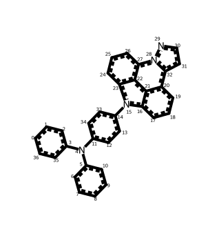 c1ccc(N(c2ccccc2)c2ccc(-n3c4cccc5c4c4c3cccc4n3nccc53)cc2)cc1